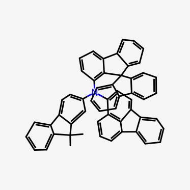 CC1(C)c2ccccc2-c2ccc(N(c3cccc4c3C3(c5ccccc5-c5ccccc53)c3ccccc3-4)c3ccc4c5c(cccc35)-c3ccccc3-4)cc21